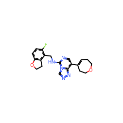 Fc1ccc2c(c1CNc1ncc(C3=CCCOCC3)c3nncn13)CCO2